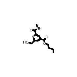 CCCCOC(=O)c1cc(CO)nc(C(=O)NC)c1